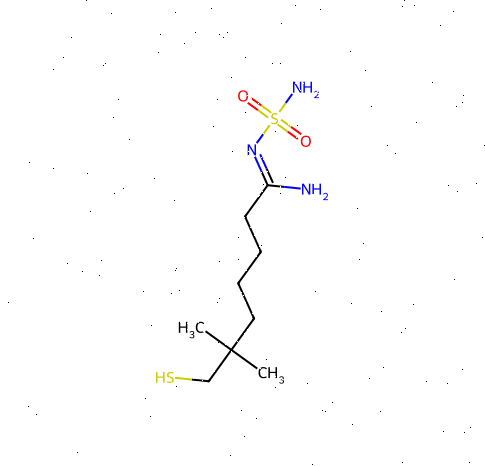 CC(C)(CS)CCCC/C(N)=N/S(N)(=O)=O